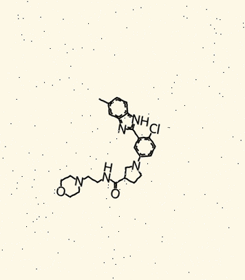 Cc1ccc2[nH]c(-c3cc(N4CCC(C(=O)NCCN5CCOCC5)C4)ccc3Cl)nc2c1